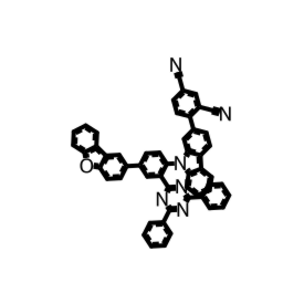 N#Cc1ccc(-c2ccc3c4ccccc4n(-c4ccc(-c5ccc6oc7ccccc7c6c5)cc4-c4nc(-c5ccccc5)nc(-c5ccccc5)n4)c3c2)c(C#N)c1